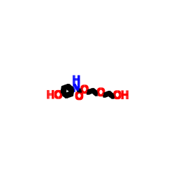 O=C(Nc1ccc(O)cc1)OCCCOCCCO